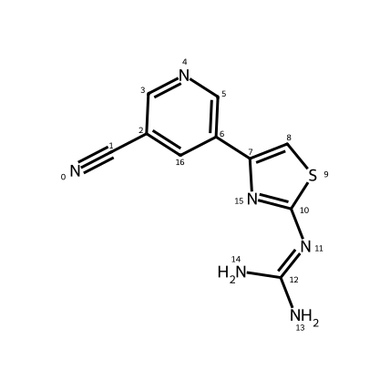 N#Cc1cncc(-c2csc(N=C(N)N)n2)c1